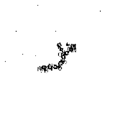 Cc1cc([C@H]2CCC(=O)NC2=O)cnc1N1CCC(C(=O)N2CCC(C)(C(=O)N3CCC4(CC3)C(=O)N(C3CC(N5CCCCC5)C3)c3cc(-c5cc6ncn(C(C)C)c6c(NC6CC6)n5)ccc34)CC2)CC1